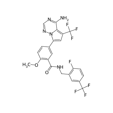 COc1ccc(-c2cc(C(F)(F)F)c3c(N)ncnn23)cc1C(=O)NCc1cc(C(F)(F)F)ccc1F